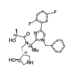 C[C@H](O)C(=O)N(C[C@@H]1CNC[C@H]1O)[C@@H](c1nc(-c2cc(F)ccc2F)cn1Cc1ccccc1)C(C)(C)C